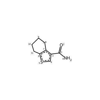 NC(=O)c1csc2c1[C]CCC2